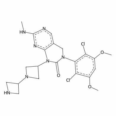 CNc1ncc2c(n1)N(C1CN(C3CNC3)C1)C(=O)N(c1c(Cl)c(OC)cc(OC)c1Cl)C2